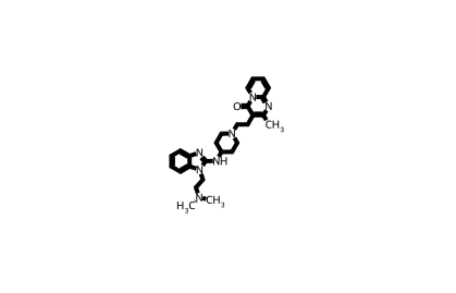 Cc1nc2ccccn2c(=O)c1CCN1CCC(Nc2nc3ccccc3n2CCN(C)C)CC1